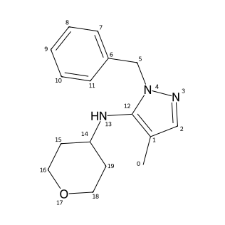 Cc1cnn(Cc2ccccc2)c1NC1CCOCC1